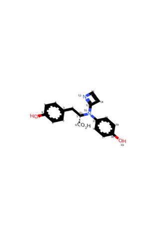 O=C(O)[C@H](Cc1ccc(O)cc1)N(C1=NC=C1)c1ccc(O)cc1